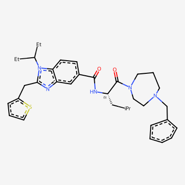 CCC(CC)n1c(Cc2cccs2)nc2cc(C(=O)N[C@@H](CC(C)C)C(=O)N3CCCN(Cc4ccccc4)CC3)ccc21